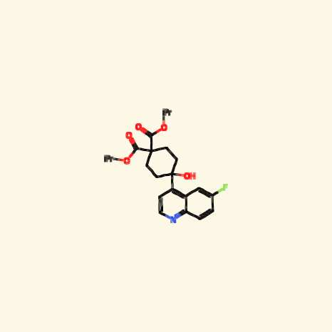 CC(C)OC(=O)C1(C(=O)OC(C)C)CCC(O)(c2ccnc3ccc(F)cc23)CC1